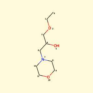 CCOCC(O)CN1CCOCC1